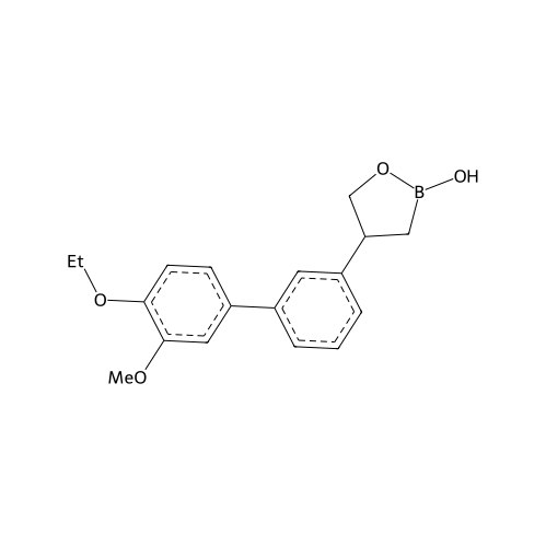 CCOc1ccc(-c2cccc(C3COB(O)C3)c2)cc1OC